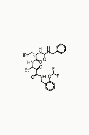 CCC(NC(=O)[C@H](CC(C)C)NC(=O)NCc1ccccc1)C(=O)C(=O)NCc1ccccc1OC(F)F